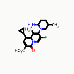 Cc1c(N2CC(C)CCC2N)c(F)cn2c(=O)c(C(=O)O)cc(C3CC3)c12